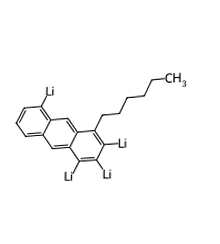 [Li][c]1[c]([Li])c(CCCCCC)c2cc3[c]([Li])cccc3cc2[c]1[Li]